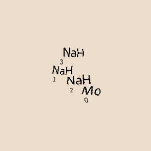 [Mo].[NaH].[NaH].[NaH]